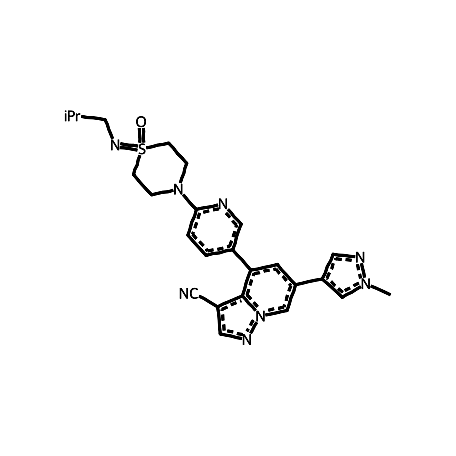 CC(C)CN=S1(=O)CCN(c2ccc(-c3cc(-c4cnn(C)c4)cn4ncc(C#N)c34)cn2)CC1